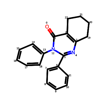 O=c1c2c(nc(-c3ccccc3)n1-c1ccccc1)CCCC2